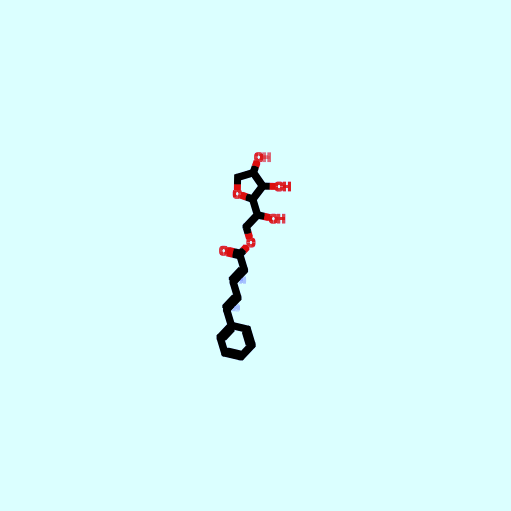 O=C(/C=C/C=C/c1ccccc1)OCC(O)C1OCC(O)C1O